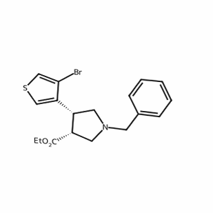 CCOC(=O)[C@H]1CN(Cc2ccccc2)C[C@H]1c1cscc1Br